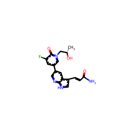 C[C@H](O)Cn1cc(-c2cnc3[nH]cc(C=CC(N)=O)c3c2)cc(F)c1=O